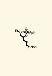 CCCCCCCCCCCCC(COCC)OP(=O)([O-])[O-].[K+].[K+]